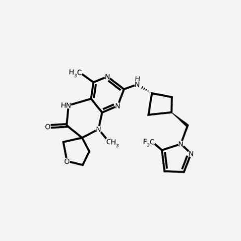 Cc1nc(N[C@H]2C[C@H](Cn3nccc3C(F)(F)F)C2)nc2c1NC(=O)C1(CCOC1)N2C